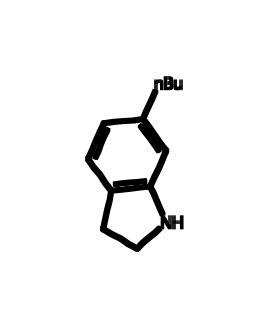 [CH2]CCCc1ccc2c(c1)NCC2